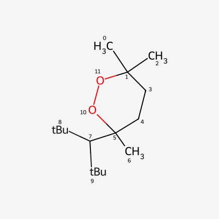 CC1(C)CCC(C)(C(C(C)(C)C)C(C)(C)C)OO1